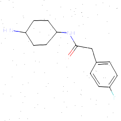 NC1CCC(NC(=O)Cc2ccc(F)cc2)CC1